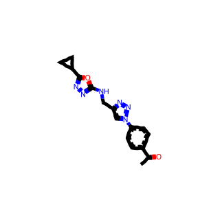 CC(=O)c1ccc(-n2cc(CNc3nnc(C4CC4)o3)nn2)cc1